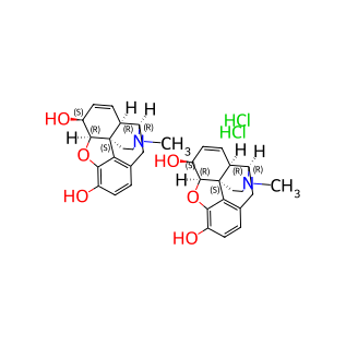 CN1CC[C@]23c4c5ccc(O)c4O[C@H]2[C@@H](O)C=C[C@H]3[C@H]1C5.CN1CC[C@]23c4c5ccc(O)c4O[C@H]2[C@@H](O)C=C[C@H]3[C@H]1C5.Cl.Cl